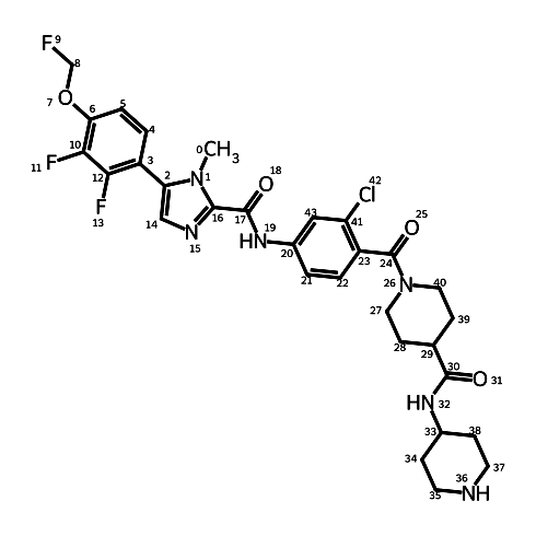 Cn1c(-c2ccc(OCF)c(F)c2F)cnc1C(=O)Nc1ccc(C(=O)N2CCC(C(=O)NC3CCNCC3)CC2)c(Cl)c1